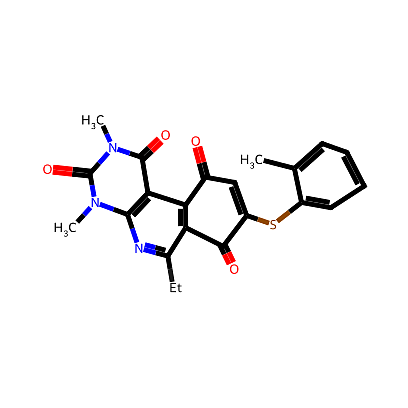 CCc1nc2c(c3c1C(=O)C(Sc1ccccc1C)=CC3=O)c(=O)n(C)c(=O)n2C